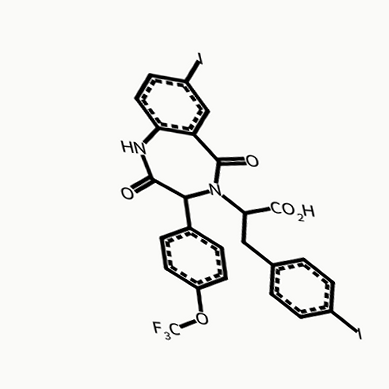 O=C(O)C(Cc1ccc(I)cc1)N1C(=O)c2cc(I)ccc2NC(=O)C1c1ccc(OC(F)(F)F)cc1